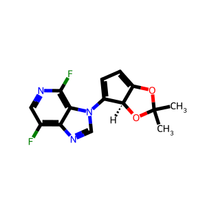 CC1(C)OC2=CC=C(n3cnc4c(F)cnc(F)c43)[C@@H]2O1